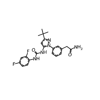 CC(C)(C)c1cc(NC(=O)Nc2ccc(F)cc2F)n(-c2cccc(CC(N)=O)c2)n1